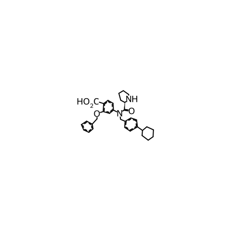 O=C(O)c1ccc(N(Cc2ccc(C3CCCCC3)cc2)C(=O)[C@H]2CCCCN2)cc1OCc1ccccc1